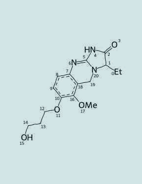 CCC1C(=O)NC2=Nc3ccc(OCCCO)c(OC)c3CN21